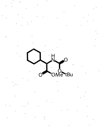 COC(=O)C(NC(=O)OC(C)(C)C)C1CCCCC1